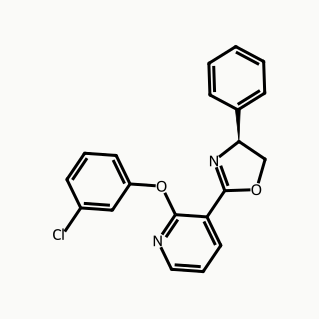 Clc1cccc(Oc2ncccc2C2=N[C@@H](c3ccccc3)CO2)c1